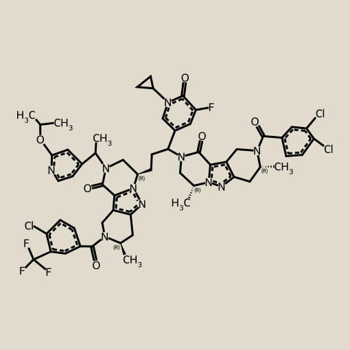 CC(C)Oc1cc(C(C)N2C[C@@H](CCC(c3cc(F)c(=O)n(C4CC4)c3)N3C[C@@H](C)n4nc5c(c4C3=O)CN(C(=O)c3ccc(Cl)c(Cl)c3)[C@H](C)C5)n3nc4c(c3C2=O)CN(C(=O)c2ccc(Cl)c(C(F)(F)F)c2)[C@H](C)C4)ccn1